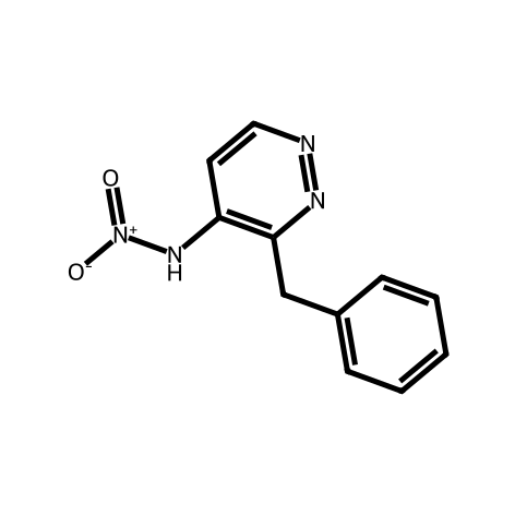 O=[N+]([O-])Nc1ccnnc1Cc1ccccc1